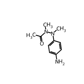 CC(=O)N(C)N(C)c1ccc(N)cc1